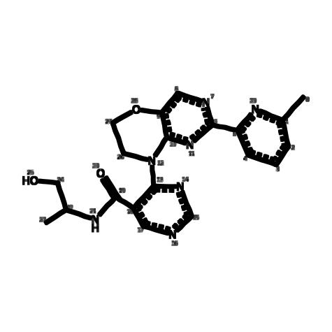 Cc1cccc(-c2ncc3c(n2)N(c2ncncc2C(=O)NC(C)CO)CCO3)n1